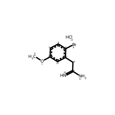 COc1ccc(Br)c(CC(=N)N)c1.Cl